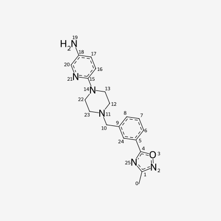 Cc1noc(-c2cccc(CN3CCN(c4ccc(N)cn4)CC3)c2)n1